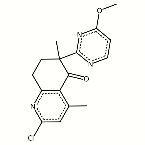 COc1ccnc(C2(C)CCc3nc(Cl)cc(C)c3C2=O)n1